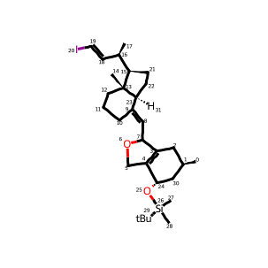 C[C@@H]1CC2=C(COC2/C=C2\CCC[C@]3(C)[C@@H]([C@H](C)/C=C/I)CC[C@@H]23)[C@@H](O[Si](C)(C)C(C)(C)C)C1